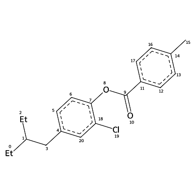 CCC(CC)Cc1ccc(OC(=O)c2ccc(C)cc2)c(Cl)c1